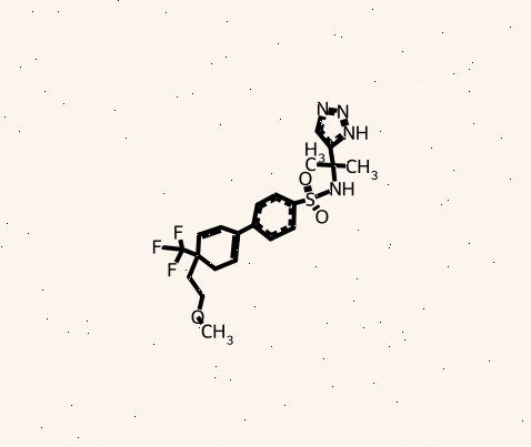 COCCC1(C(F)(F)F)C=CC(c2ccc(S(=O)(=O)NC(C)(C)c3cnn[nH]3)cc2)=CC1